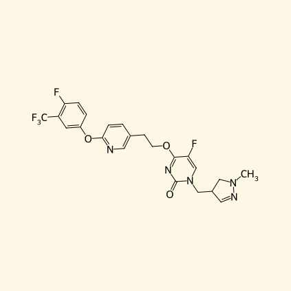 CN1CC(Cn2cc(F)c(OCCc3ccc(Oc4ccc(F)c(C(F)(F)F)c4)nc3)nc2=O)C=N1